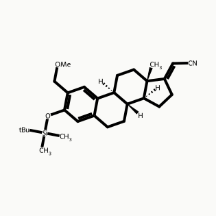 COCc1cc2c(cc1O[Si](C)(C)C(C)(C)C)CC[C@@H]1[C@@H]2CC[C@]2(C)C(=CC#N)CC[C@@H]12